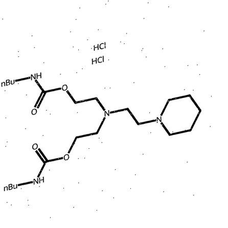 CCCCNC(=O)OCCN(CCOC(=O)NCCCC)CCN1CCCCC1.Cl.Cl